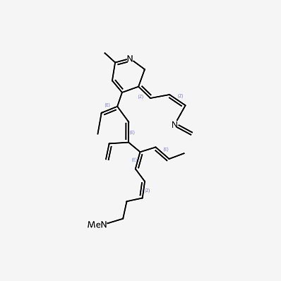 C=CC(=C\C(=C/C)C1=CC(C)=NC/C1=C\C=C/N=C)/C(/C=C/C)=C/C=C\CCNC